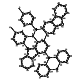 Cc1ccc(N2B3c4cc(C)ccc4-n4c5ccccc5c5c(N6c7ccccc7Oc7ccccc76)cc(c3c54)-c3cc4oc5ccccc5c4cc32)cc1